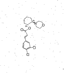 O=C(C=Cc1ccc(Cl)c(Cl)c1)O[C@@H]1CCCC[C@H]1N1CCOCC1